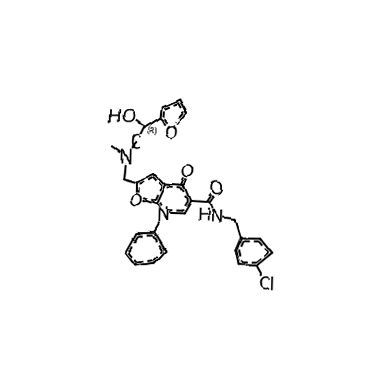 CN(Cc1cc2c(=O)c(C(=O)NCc3ccc(Cl)cc3)cn(-c3ccccc3)c2o1)C[C@@H](O)c1ccco1